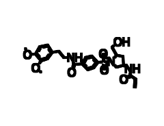 C=CC(=O)NC1CC(CO)N(S(=O)(=O)c2ccc(C(=O)NCCc3ccc(OC)c(OC)c3)cc2)C1